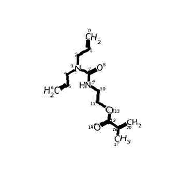 C=CCN(CC=C)C(=O)NCCOC(=O)C(=C)C